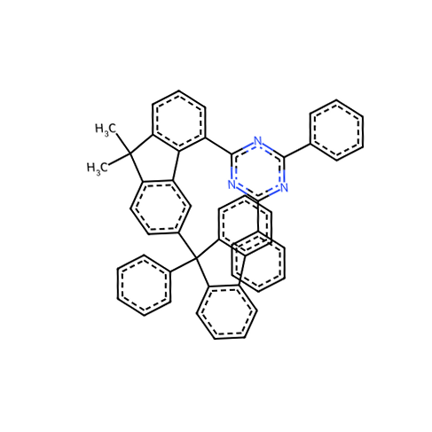 CC1(C)c2ccc(C3(c4ccccc4)c4ccccc4-c4ccccc43)cc2-c2c(-c3nc(-c4ccccc4)nc(-c4ccccc4)n3)cccc21